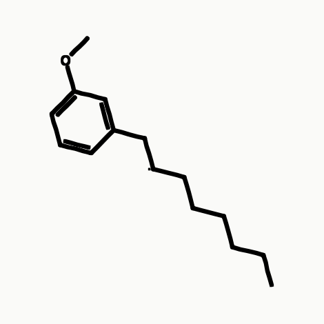 CCCCCC[CH]Cc1cccc(OC)c1